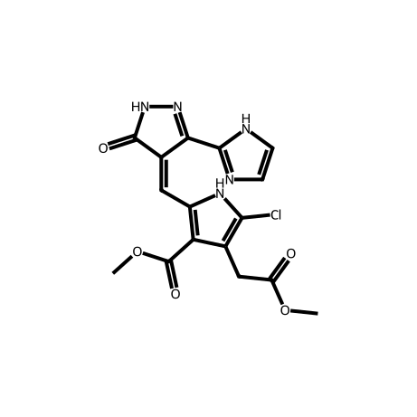 COC(=O)Cc1c(Cl)[nH]c(/C=C2/C(=O)NN=C2c2ncc[nH]2)c1C(=O)OC